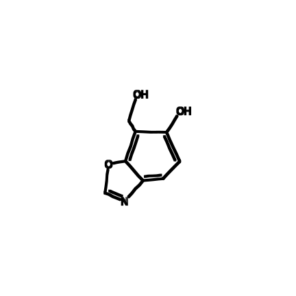 OCc1c(O)ccc2ncoc12